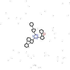 c1ccc(-c2ccc(-c3nc(-c4ccc5c6c(cccc46)-c4ccccc4-5)nc(-c4cccc5oc6ccccc6c45)n3)cc2)cc1